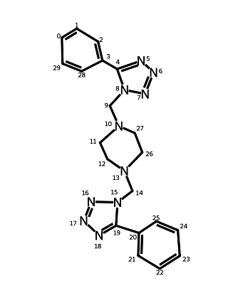 c1ccc(-c2nnnn2CN2CCN(Cn3nnnc3-c3ccccc3)CC2)cc1